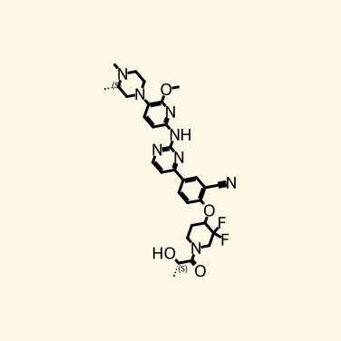 COc1nc(Nc2nccc(-c3ccc(OC4CCN(C(=O)[C@H](C)O)CC4(F)F)c(C#N)c3)n2)ccc1N1CCN(C)[C@@H](C)C1